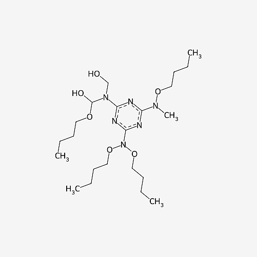 CCCCOC(O)N(CO)c1nc(N(C)OCCCC)nc(N(OCCCC)OCCCC)n1